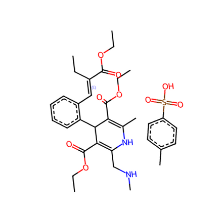 CCOC(=O)C1=C(C)NC(CNC)=C(C(=O)OCC)C1c1ccccc1/C=C(\CC)C(=O)OCC.Cc1ccc(S(=O)(=O)O)cc1